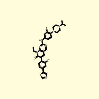 CCn1c(=O)c(-c2ccc(-c3cncs3)cc2Cl)cc2cnc(Nc3ccc(N4CCN(C(C)C)CC4)c(F)c3)nc21